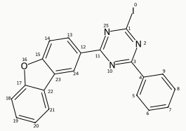 Ic1nc(-c2ccccc2)nc(-c2ccc3oc4ccccc4c3c2)n1